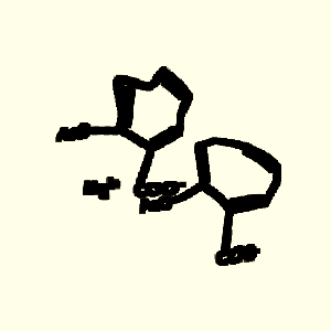 CC(=O)Oc1ccccc1C(=O)[O-].CC(=O)Oc1ccccc1C(=O)[O-].[Mg+2]